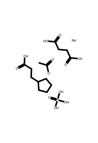 CC(=O)[O-].O=C(O)CCC(=O)O.O=C(O)CCC1CCCC1.O=P(O)(O)O.[Na+]